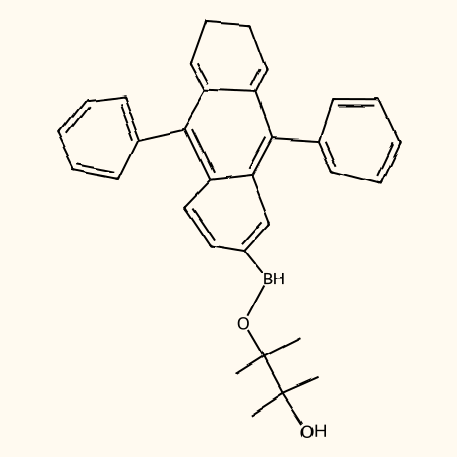 CC(C)(O)C(C)(C)OBc1ccc2c(-c3ccccc3)c3c(c(-c4ccccc4)c2c1)=CCCC=3